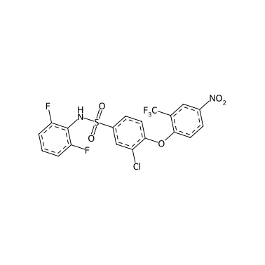 O=[N+]([O-])c1ccc(Oc2ccc(S(=O)(=O)Nc3c(F)cccc3F)cc2Cl)c(C(F)(F)F)c1